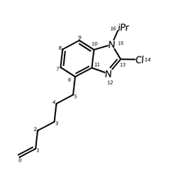 C=CCCCCc1cccc2c1nc(Cl)n2C(C)C